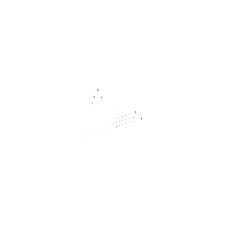 N#[C][Ti].[Ta].[W]